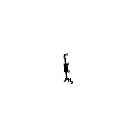 FC#CP